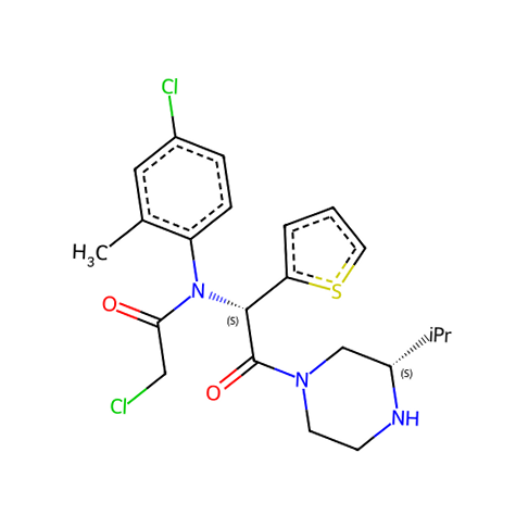 Cc1cc(Cl)ccc1N(C(=O)CCl)[C@@H](C(=O)N1CCN[C@@H](C(C)C)C1)c1cccs1